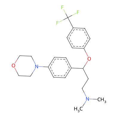 CN(C)CCC(Oc1ccc(C(F)(F)F)cc1)c1ccc(N2CCOCC2)cc1